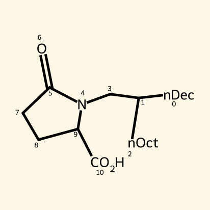 CCCCCCCCCCC(CCCCCCCC)CN1C(=O)CCC1C(=O)O